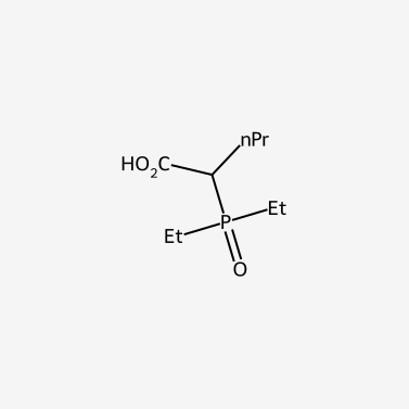 CCCC(C(=O)O)P(=O)(CC)CC